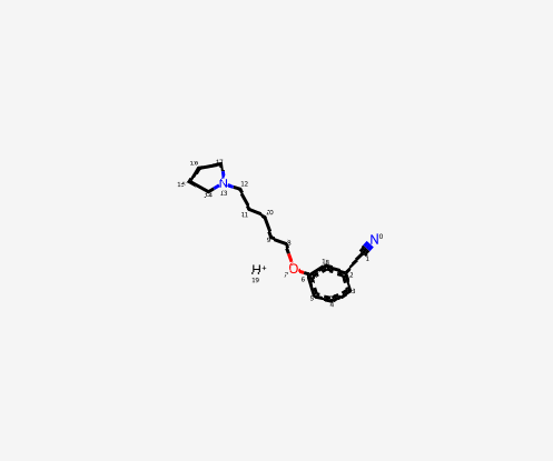 N#Cc1cccc(OCCCCCN2CCCC2)c1.[H+]